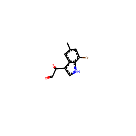 Cc1cc(Br)c2[nH]cc(C(=O)C=O)c2c1